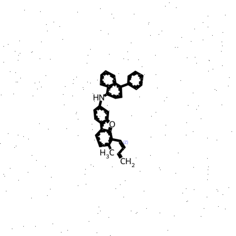 C=C/C=C\c1c(C)ccc2c1oc1cc(Nc3ccc(-c4ccccc4)c4ccccc34)ccc12